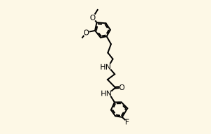 COc1ccc(CCCNCCC(=O)Nc2ccc(F)cc2)cc1OC